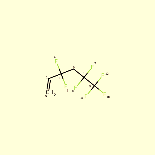 C=CC(F)(F)CC(F)(F)C(F)(F)F